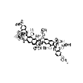 COc1ccc(N=Nc2c(S(=O)(=O)O)cc3cc(SOOO)c(N=Nc4c(S(=O)(=O)O)cc5cc(SOOO)c(N=Nc6ccc([N+](=O)[O-])cc6S(=O)(=O)O)c(O)c5c4N)cc3c2O)c(SOOO)c1